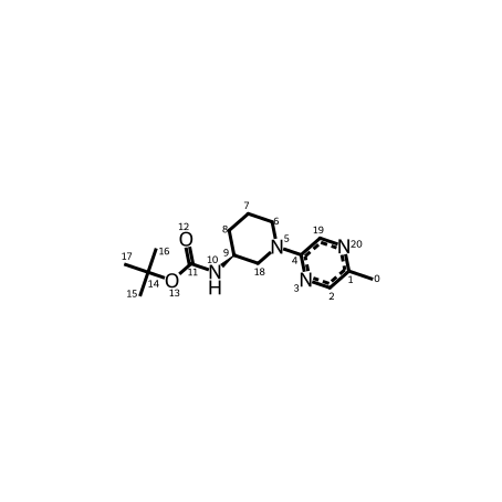 Cc1cnc(N2CCC[C@H](NC(=O)OC(C)(C)C)C2)cn1